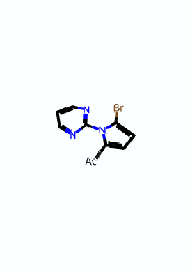 CC(=O)c1ccc(Br)n1-c1ncccn1